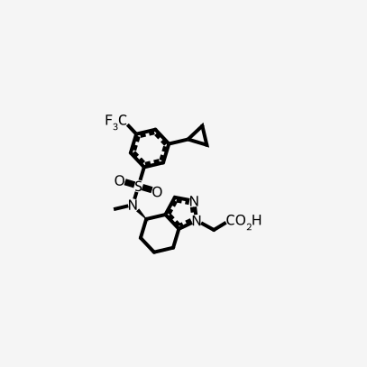 CN([C@@H]1CCCc2c1cnn2CC(=O)O)S(=O)(=O)c1cc(C2CC2)cc(C(F)(F)F)c1